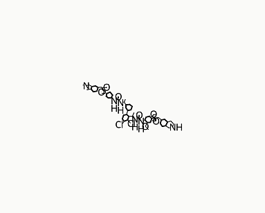 COc1cc(S(=O)(=O)Cc2ccc3c(c2)CCNC3)ccc1NC(=O)NC(C)c1c(-c2cccc(C(C)NC(=O)Nc3ccc(S(=O)(=O)Cc4ccc5c(c4)CN(C)C5)cc3)c2)ccc(Cl)c1Cl